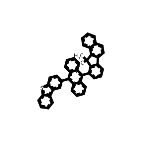 CC1(C)c2c(cccc2-c2c3ccccc3c(-c3ccc4sc5ccccc5c4c3)c3ccccc23)-c2ccc3ccccc3c21